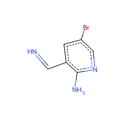 N=Cc1cc(Br)cnc1N